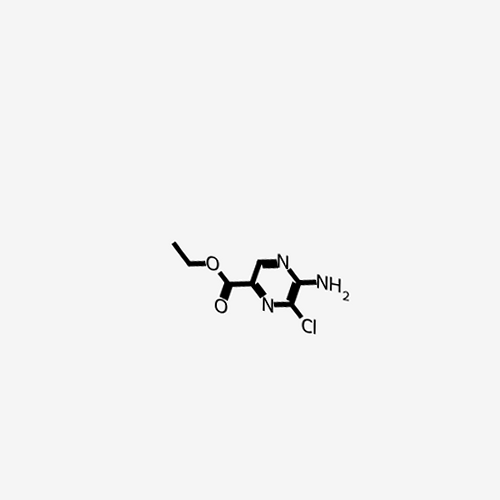 CCOC(=O)c1cnc(N)c(Cl)n1